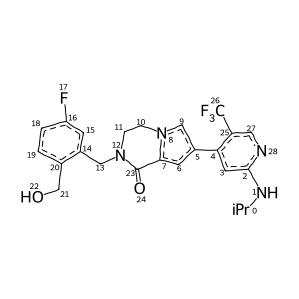 CC(C)Nc1cc(-c2cc3n(c2)CCN(Cc2cc(F)ccc2CO)C3=O)c(C(F)(F)F)cn1